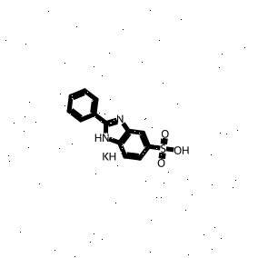 O=S(=O)(O)c1ccc2[nH]c(-c3ccccc3)nc2c1.[KH]